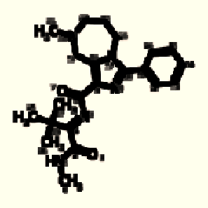 CNC(=O)/C(=N/C(=O)c1nc(-c2ccccc2)n2c1CN(C)CCC2)C(C)(C)C